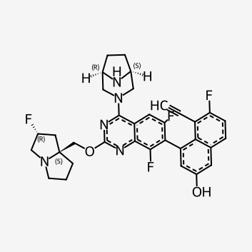 C#Cc1c(F)ccc2cc(O)cc(-c3c(F)cc4c(N5C[C@H]6CC[C@@H](C5)N6)nc(OC[C@@]56CCCN5C[C@H](F)C6)nc4c3F)c12